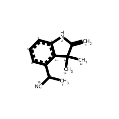 C=C1Nc2cccc(C(C)C#N)c2C1(C)C